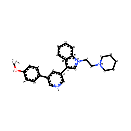 COc1ccc(-c2cncc(-c3cn(CCN4CCCCC4)c4ccccc34)c2)cc1